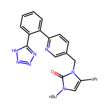 CCCCn1cc(CCC)n(Cc2ccc(-c3ccccc3-c3nnn[nH]3)nc2)c1=O